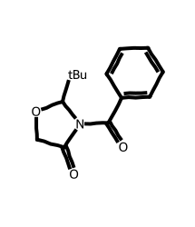 CC(C)(C)C1OCC(=O)N1C(=O)c1ccccc1